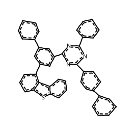 c1ccc(-c2ccc(-c3nc(-c4ccccc4)nc(-c4cc(-c5ccccc5)cc(-c5cccc6sc7ccccc7c56)c4)n3)cc2)cc1